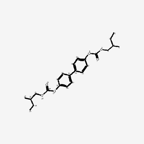 CCC(C)COC(=O)Oc1ccc(-c2ccc(OC(=O)OCC(C)CC)cc2)cc1